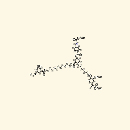 C=C(C(=O)OC)c1ccc(OOCCCCCCc2ccc(OC(=O)c3ccc(/C=C/C(=O)OC)cc3)cc2C(=O)OCCCCCCCCCCCOC(=O)c2cc(N)cc(N)c2)c(OC)c1